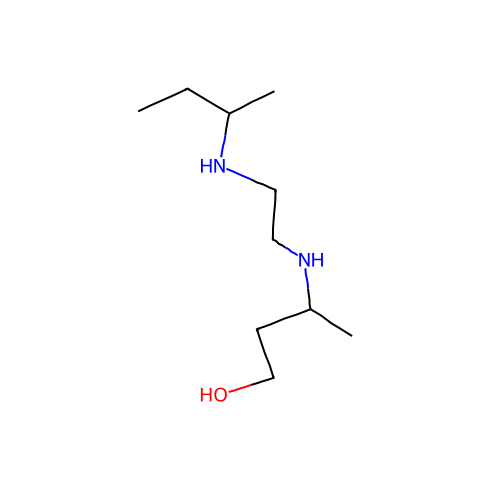 CCC(C)NCCNC(C)CCO